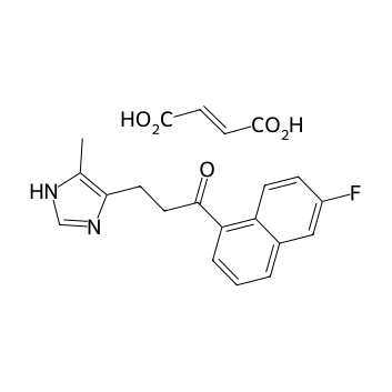 Cc1[nH]cnc1CCC(=O)c1cccc2cc(F)ccc12.O=C(O)C=CC(=O)O